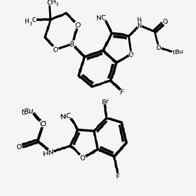 CC(C)(C)OC(=O)Nc1oc2c(F)ccc(Br)c2c1C#N.CC1(C)COB(c2ccc(F)c3oc(NC(=O)OC(C)(C)C)c(C#N)c23)OC1